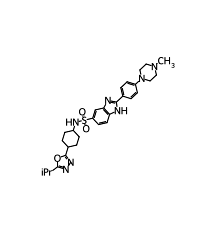 CC(C)c1nnc(C2CCC(NS(=O)(=O)c3ccc4[nH]c(-c5ccc(N6CCN(C)CC6)cc5)nc4c3)CC2)o1